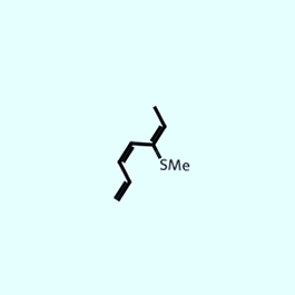 C=C/C=C\C(=C/C)SC